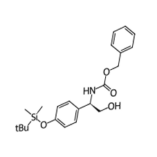 CC(C)(C)[Si](C)(C)Oc1ccc([C@H](CO)NC(=O)OCc2ccccc2)cc1